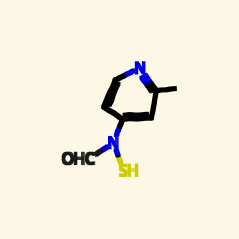 Cc1cc(N(S)C=O)ccn1